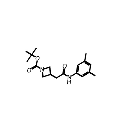 Cc1cc(C)cc(NC(=O)CC2CN(C(=O)OC(C)(C)C)C2)c1